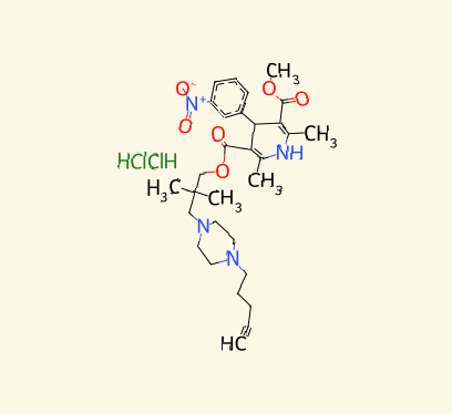 C#CCCCN1CCN(CC(C)(C)COC(=O)C2=C(C)NC(C)=C(C(=O)OC)C2c2cccc([N+](=O)[O-])c2)CC1.Cl.Cl